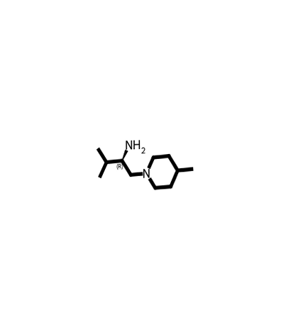 CC1CCN(C[C@H](N)C(C)C)CC1